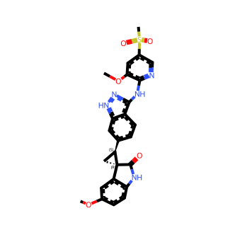 COc1ccc2c(c1)[C@]1(C[C@H]1c1ccc3c(Nc4ncc(S(C)(=O)=O)cc4OC)n[nH]c3c1)C(=O)N2